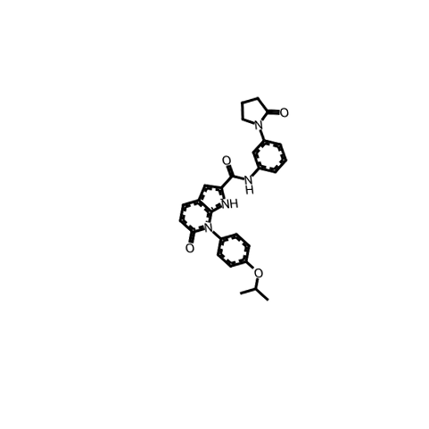 CC(C)Oc1ccc(-n2c(=O)ccc3cc(C(=O)Nc4cccc(N5CCCC5=O)c4)[nH]c32)cc1